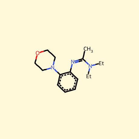 CCN(CC)C(C)=Nc1ccccc1N1CCOCC1